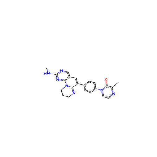 CNc1ncc2c(n1)N1CCCN=C1C(c1ccc(-n3ccnc(C)c3=O)cc1)=C2